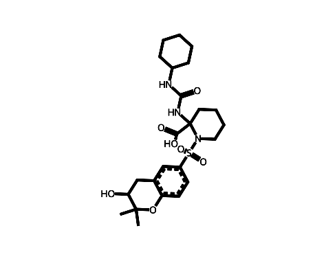 CC1(C)Oc2ccc(S(=O)(=O)N3CCCCC3(NC(=O)NC3CCCCC3)C(=O)O)cc2CC1O